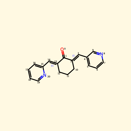 O=C1/C(=C/c2cccnc2)CCC/C1=C\c1ccccn1